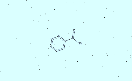 CC(C)C(=O)c1ccn[c]n1